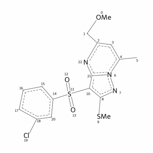 COCc1cc(C)n2nc(SC)c(S(=O)(=O)c3cccc(Cl)c3)c2n1